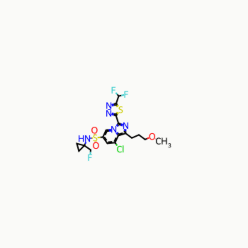 COCCCc1nc(-c2nnc(C(F)F)s2)n2cc(S(=O)(=O)NC3(CF)CC3)cc(Cl)c12